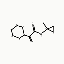 C=C(C(=O)OC1(C)CC1)C1CCCCC1